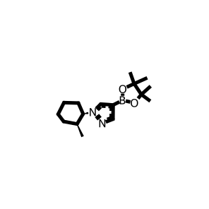 C[C@H]1CCCC[C@@H]1n1cc(B2OC(C)(C)C(C)(C)O2)cn1